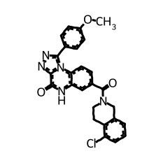 COc1ccc(-c2nnc3c(=O)[nH]c4cc(C(=O)N5CCc6c(Cl)cccc6C5)ccc4n23)cc1